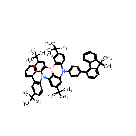 CC(C)(C)c1ccc2c(c1)B1c3cc(C(C)(C)C)ccc3N(c3ccc(C(C)(C)C)cc3-c3ccccc3)c3cc(C(C)(C)C)cc(c31)N2c1ccc(-c2cccc3c2-c2ccccc2C3(C)C)cc1